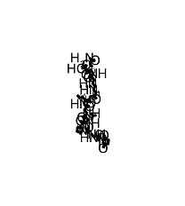 CC[C@H](C)C(NC(=O)CNC(=O)[C@H](CC(C)C)NC(=O)[C@@H]1CCCN1C(=O)CNNC(=O)CN1C(=O)C=CC1=O)C(=O)CC(=O)[C@H](C)NCNCC(=O)N[C@@H](CCC(N)=O)C(=O)C(=O)O